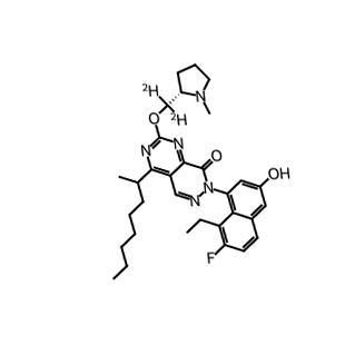 [2H]C([2H])(Oc1nc(C(C)CCCCCC)c2cnn(-c3cc(O)cc4ccc(F)c(CC)c34)c(=O)c2n1)[C@@H]1CCCN1C